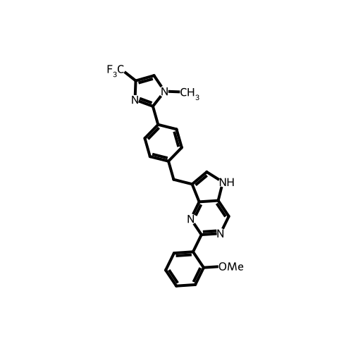 COc1ccccc1-c1ncc2[nH]cc(Cc3ccc(-c4nc(C(F)(F)F)cn4C)cc3)c2n1